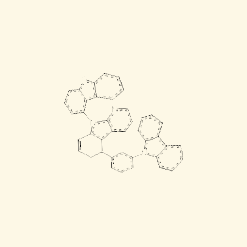 C1=Cc2c(c3cccnc3n2-c2cccc3oc4ccccc4c23)C(c2cccc(-n3c4ccccc4c4ccccc43)c2)C1